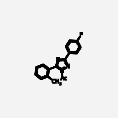 CC(=O)n1nc(-c2ccc(F)cc2)nc1-c1ccccc1C